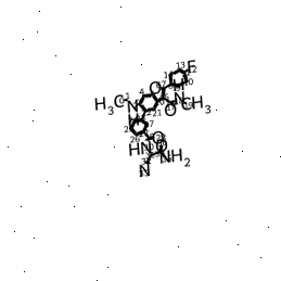 CCNc1cc2oc(-c3ccc(F)cc3)c(C(=O)NC)c2cc1-c1cccc(C(=O)NC(C#N)C(N)=O)c1